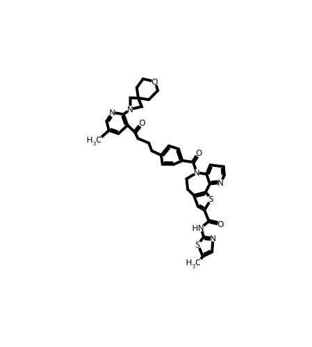 Cc1cnc(N2CC3(CCOCC3)C2)c(C(=O)CCCc2ccc(C(=O)N3CCc4cc(C(=O)Nc5ncc(C)s5)sc4-c4ncccc43)cc2)c1